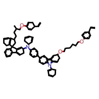 C=Cc1ccc(OCCCCCCOC2C=c3c(n(C4=CC=CCC4)c4ccc(-c5ccc(N(C6C=CC=CC6)C6C=C7C(=CC6)c6ccccc6C7(CC(C)CCC(C)COC6=CCC(C=C)C=C6)C6=CC=CCC6)cc5)cc34)=CC2)cc1